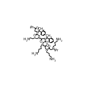 CC(C)C(=O)CN(C(=O)CN(CCCCN)C(=O)CN(C(=O)CN(CCCCN)C(=O)CN(CCCCN)C(=O)CN(CCCCN)C(C)C)[C@@H](C)c1ccccc1)[C@@H](C)c1ccccc1